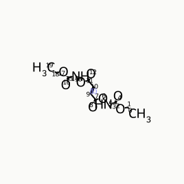 CCOC(=O)NOC(=O)/C=C/C(=O)ONC(=O)OCC